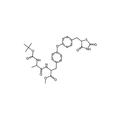 COC(=O)C(Cc1ccc(Oc2ccc(CC3SC(=O)NC3=O)cc2)cc1)NC(=O)C(C)NC(=O)OC(C)(C)C